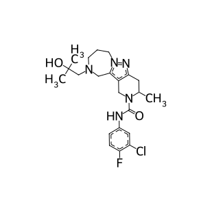 CC1Cc2nn3c(c2CN1C(=O)Nc1ccc(F)c(Cl)c1)CN(CC(C)(C)O)CCC3